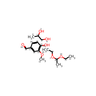 CC(O)CO.CCOC(C)OCC.COc1cc(C=O)ccc1O